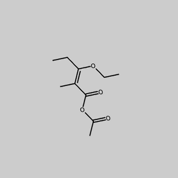 CCOC(CC)=C(C)C(=O)OC(C)=O